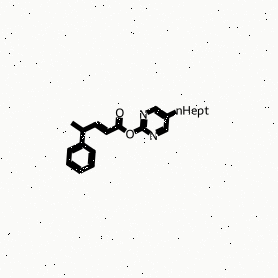 CCCCCCCc1cnc(OC(=O)/C=C/C(C)c2ccccc2)nc1